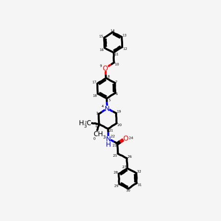 CC1(C)CN(c2ccc(OCc3ccccc3)cc2)CCC1NC(=O)CCc1ccccc1